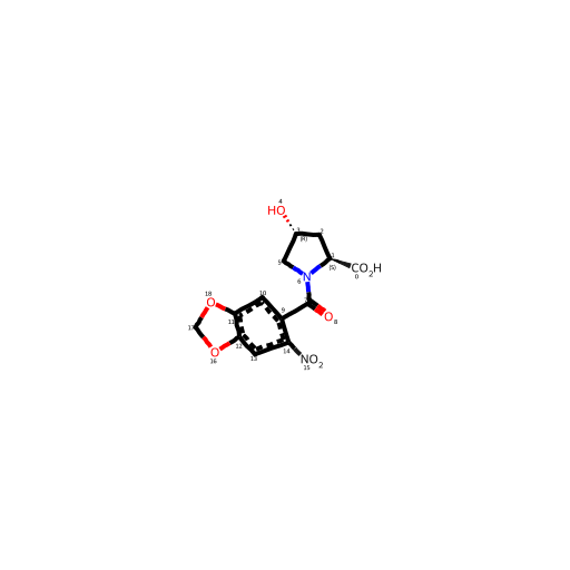 O=C(O)[C@@H]1C[C@@H](O)CN1C(=O)c1cc2c(cc1[N+](=O)[O-])OCO2